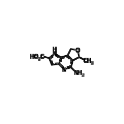 CC1OCc2c1c(N)nc1cc(C(=O)O)[nH]c21